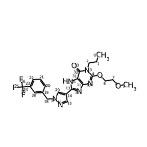 CCCn1c(OCCOC)nc2nc(-c3cnn(Cc4cccc(C(F)(F)F)c4)c3)[nH]c2c1=O